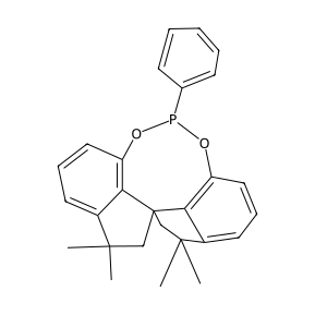 CC1(C)CC23CC(C)(C)c4cccc(c42)OP(c2ccccc2)Oc2cccc1c23